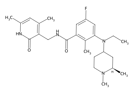 CCN(c1cc(F)cc(C(=O)NCc2c(C)cc(C)[nH]c2=O)c1C)C1CCN(C)[C@H](C)C1